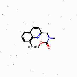 Bc1cccc2ccc(CN(C)C(=O)OC(C)(C)C)nc12